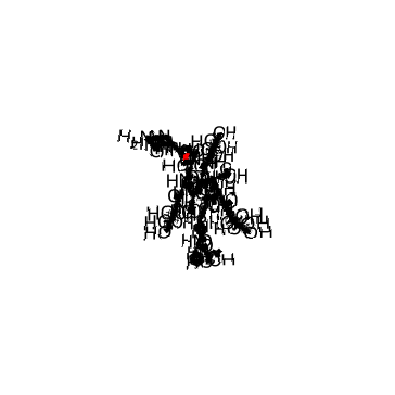 CC(C)C[C@H](NC(=O)[C@H](Cc1ccccc1)NC(=O)c1cnc(CSSC[C@@H](C)NC(=O)[C@H](CCC(=O)NC[C@H](O)[C@@H](O)[C@H](O)[C@H](O)CO)NC(=O)[C@H](CCC(=O)O)NC(=O)[C@H](CCC(=O)NC[C@H](O)[C@@H](O)[C@H](O)[C@H](O)CO)NC(=O)[C@H](CCC(=O)O)NC(=O)[C@H](CCC(=O)NC[C@H](O)[C@@H](O)[C@H](O)[C@H](O)CO)NC(=O)CC[C@H](NC(=O)c2ccc(NCc3cnc4nc(N)[nH]c(=O)c4n3)cc2)C(=O)O)cn1)B(O)O